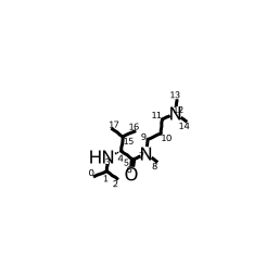 CC(C)N[C@@H](C(=O)N(C)CCCN(C)C)C(C)C